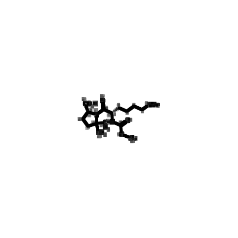 CNCCCC[C@H](NC(=O)OC(C)(C)C)C(=O)N1[C@H](C(=O)O)CCC1(C)C